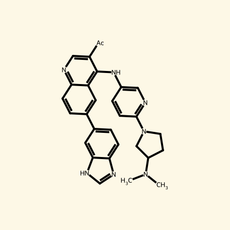 CC(=O)c1cnc2ccc(-c3ccc4nc[nH]c4c3)cc2c1Nc1ccc(N2CCC(N(C)C)C2)nc1